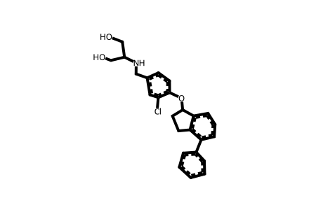 OCC(CO)NCc1ccc(OC2CCc3c(-c4ccccc4)cccc32)c(Cl)c1